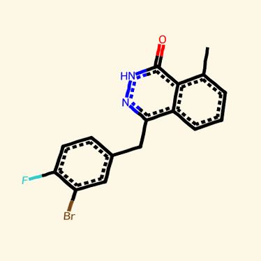 Cc1cccc2c(Cc3ccc(F)c(Br)c3)n[nH]c(=O)c12